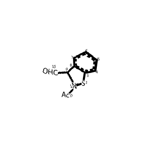 CC(=O)N1Sc2ccccc2C1C=O